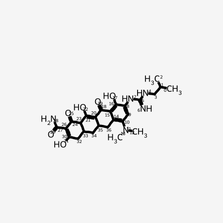 CC(C)CNC(=N)Nc1cc(N(C)C)c2c(c1O)C(=O)C1=C(O)C3C(=O)C(C(N)=O)=C(O)CC3CC1C2